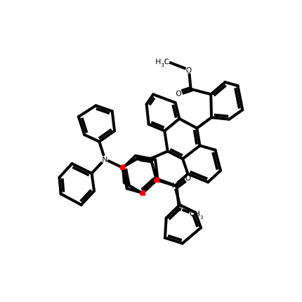 COC(=O)c1ccccc1-c1c2ccccc2c(-c2ccccc2C(=O)OC)c2c(N(c3ccccc3)c3ccc(N(c4ccccc4)c4ccccc4)cc3)cccc12